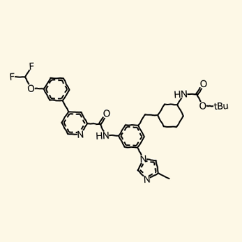 Cc1cn(-c2cc(CC3CCCC(NC(=O)OC(C)(C)C)C3)cc(NC(=O)c3cc(-c4cccc(OC(F)F)c4)ccn3)c2)cn1